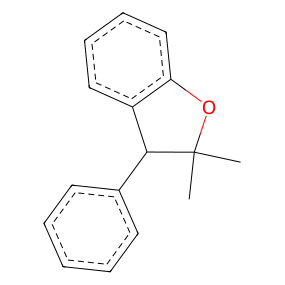 CC1(C)Oc2ccccc2C1c1ccccc1